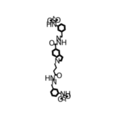 CS(=O)(=O)Nc1cccc(/C=N/NC(=O)CCCn2ccc3cc(C(=O)N/N=C/c4cccc(NS(C)(=O)=O)c4)ccc32)c1